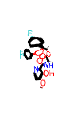 COc1ccnc(C(=O)N[C@@H](C)C(=O)O[C@@H](C)C(Oc2ccc(F)cc2)c2ccc(F)cc2)c1O